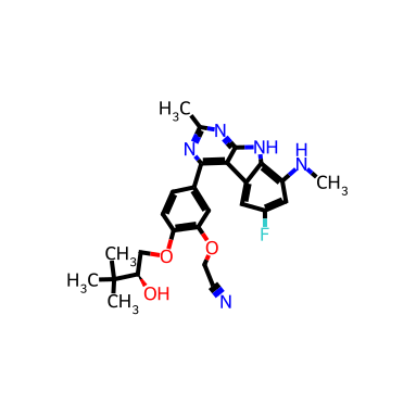 CNc1cc(F)cc2c1[nH]c1nc(C)nc(-c3ccc(OC[C@@H](O)C(C)(C)C)c(OCC#N)c3)c12